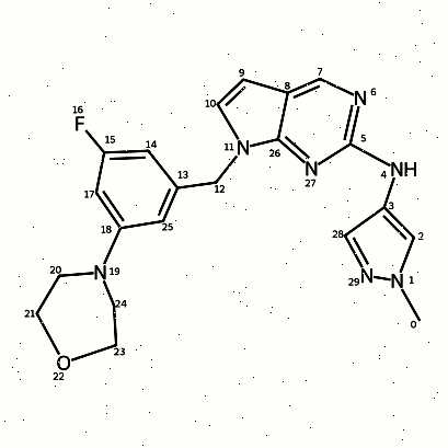 Cn1cc(Nc2ncc3ccn(Cc4cc(F)cc(N5CCOCC5)c4)c3n2)cn1